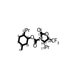 CC1CCC(C(C)C)C(OC(=O)N2C(=O)O[C@@H](C(F)(F)F)[C@@H]2C(C)C)C1